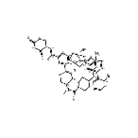 CN(C(=O)N1CCC(Oc2cccc(N3[C@@H]4CC[C@H]3CN(c3cc(-c5ccccc5O)nnc3N)C4)c2)CC1)C1CCN(c2cccc(/[N+](C)=C/C3CCC(=O)NC3=O)c2)CC1